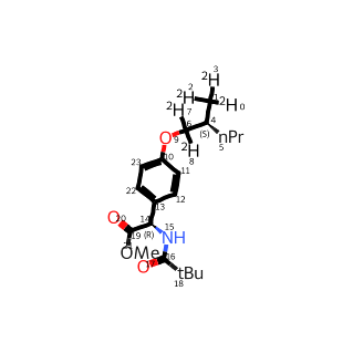 [2H]C([2H])([2H])[C@@H](CCC)C([2H])([2H])Oc1ccc([C@@H](NC(=O)C(C)(C)C)C(=O)OC)cc1